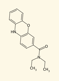 CCN(CC)C(=O)c1ccc2c(c1)Oc1ccccc1N2